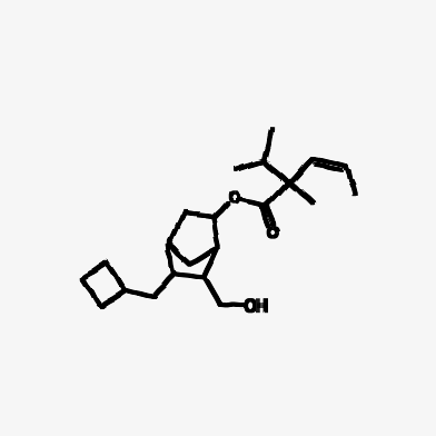 C/C=C\C(C)(C(=O)OC1CC2CC1C(CO)C2CC1CCC1)C(C)C